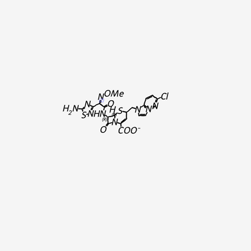 CO/N=C(\C(=O)N[C@@H]1C(=O)N2C(C(=O)[O-])=CC(Cn3cc[n+]4nc(Cl)ccc34)S[C@H]12)c1nsc(N)n1